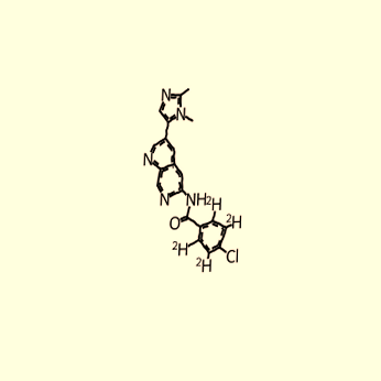 [2H]c1c([2H])c(C(=O)Nc2cc3cc(-c4cnc(C)n4C)cnc3cn2)c([2H])c([2H])c1Cl